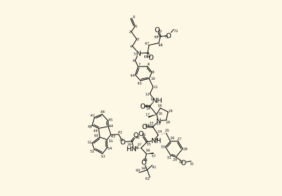 C=CCCCN(Cc1ccc(CCNC(=O)[C@]2(C)CCCN2C(=O)[C@H](Cc2ccc(OC)cc2)NC(=O)[C@@H](NC(=O)OCC2c3ccccc3-c3ccccc32)[C@@H](C)OC(C)(C)C)cc1)C(=O)CCC(=O)OC